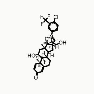 C[C@]12C=CC(=O)C=C1CC[C@H]1[C@@H]3C[C@H]4CN(c5ccc(Cl)c(C(F)(F)F)c5)O[C@@]4(C(=O)CO)[C@@]3(C)C[C@H](O)[C@@]12F